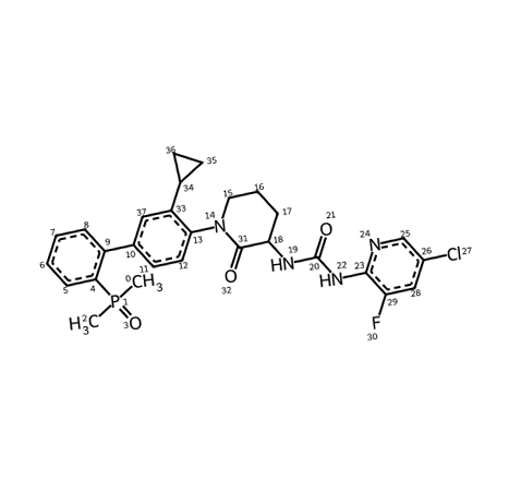 CP(C)(=O)c1ccccc1-c1ccc(N2CCCC(NC(=O)Nc3ncc(Cl)cc3F)C2=O)c(C2CC2)c1